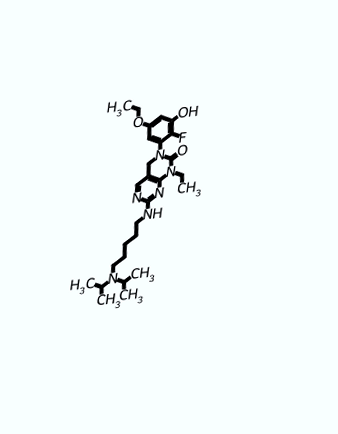 CCOc1cc(O)c(F)c(N2Cc3cnc(NCCCCCN(C(C)C)C(C)C)nc3N(CC)C2=O)c1